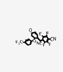 N#C/C(=C1/C=CC(=O)C=C1Oc1ccc(C(F)(F)F)cc1)c1c(F)c(F)c(C#N)c(F)c1F